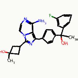 CC1(O)CC(c2nc(-c3ccc(C(C)(O)c4cccc(F)c4)cc3)c3c(N)nccn23)C1